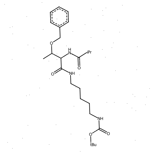 CC(C)C(=O)NC(C(=O)NCCCCCNC(=O)OC(C)(C)C)C(C)OCc1ccccc1